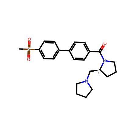 CS(=O)(=O)c1ccc(-c2ccc(C(=O)N3CCC[C@H]3CN3CCCC3)cc2)cc1